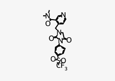 CN(C)C(=O)c1cnccc1CN1CC(=O)N(c2ccc(S(=O)(=O)C(F)(F)F)cc2)C1=O